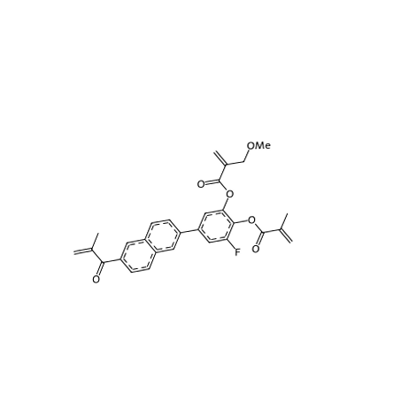 C=C(C)C(=O)Oc1c(F)cc(-c2ccc3cc(C(=O)C(=C)C)ccc3c2)cc1OC(=O)C(=C)COC